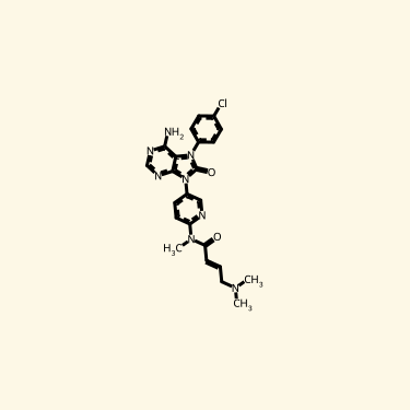 CN(C)C/C=C/C(=O)N(C)c1ccc(-n2c(=O)n(-c3ccc(Cl)cc3)c3c(N)ncnc32)cn1